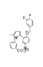 CCOC(=O)c1cccc(-n2c(C)ccc2-c2cc(Br)ccc2OCc2ccc(F)c(F)c2)c1